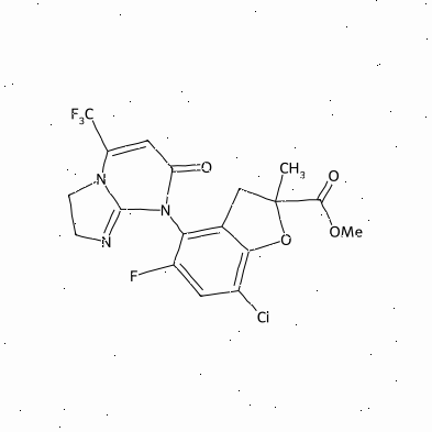 COC(=O)C1(C)Cc2c(c(Cl)cc(F)c2N2C(=O)C=C(C(F)(F)F)N3CCN=C32)O1